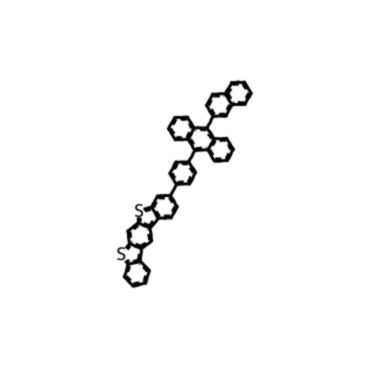 c1ccc2cc(-c3c4ccccc4c(-c4ccc(-c5ccc6c(c5)sc5cc7sc8ccccc8c7cc56)cc4)c4ccccc34)ccc2c1